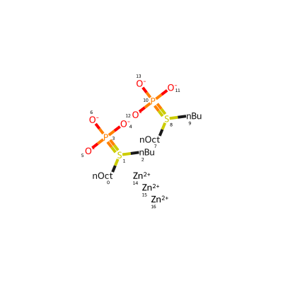 CCCCCCCCS(CCCC)=P([O-])([O-])[O-].CCCCCCCCS(CCCC)=P([O-])([O-])[O-].[Zn+2].[Zn+2].[Zn+2]